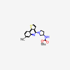 CC(C)(C)OC(=O)NC1CCN(c2nc3cc(C#N)ccc3c3sccc23)C1